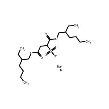 CCCCC(CC)COC(=O)CC(C(=O)OCC(CC)CCCC)S(=O)(=O)[O-].[Na+].[Ti]